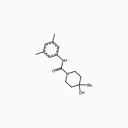 Cc1cc(C)cc(NC(=O)N2CCC(O)(C(C)(C)C)CC2)c1